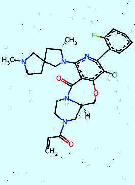 C=CC(=O)N1CCN2C(=O)c3c(N4CC5(CCN(C)C5)C[C@@H]4C)nc(-c4ccccc4F)c(Cl)c3OC[C@H]2C1